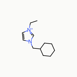 CC[n+]1ccn(CC2CCCCC2)c1